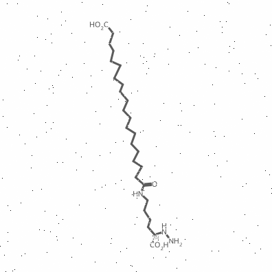 NN[C@@H](CCCCNC(=O)CCCCCCCCCCCCCCCCCCC(=O)O)C(=O)O